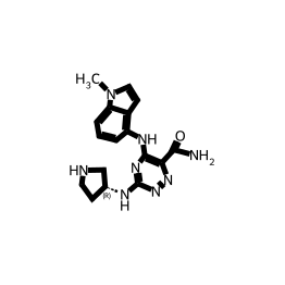 Cn1ccc2c(Nc3nc(N[C@@H]4CCNC4)nnc3C(N)=O)cccc21